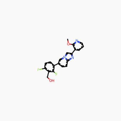 COc1ncccc1-c1cn2cc(-c3ccc(F)c(CO)c3F)ccc2n1